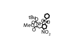 COC(=O)[C@H](Cc1cc(S(=O)(=O)c2ccccc2)ccc1[N+](=O)[O-])NC(=O)OC(C)(C)C